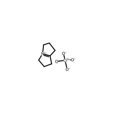 C1CC2=[N+](C1)CCC2.[O-][Cl+3]([O-])([O-])[O-]